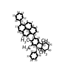 Cc1c(-c2ccc3ccc4c(-c5ccccc5)ccc5ccc2c3c54)cc2c(c1C)N(c1ccccc1)C1(C)CCCCC21C